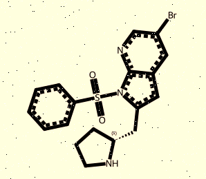 O=S(=O)(c1ccccc1)n1c(C[C@H]2CCCN2)cc2cc(Br)cnc21